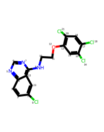 Clc1ccc2ncnc(NCCOc3cc(Cl)c(Cl)cc3Cl)c2c1